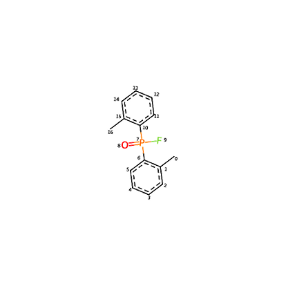 Cc1ccccc1P(=O)(F)c1ccccc1C